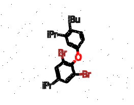 CCC(C)c1ccc(Oc2c(Br)cc(C(C)C)cc2Br)cc1C(C)C